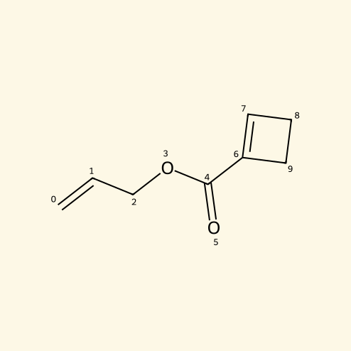 C=CCOC(=O)C1=CCC1